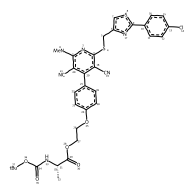 CNc1nc(SCc2csc(-c3ccc(Cl)cc3)n2)c(C#N)c(-c2ccc(OCCOC(=O)[C@H](C)NC(=O)OC(C)(C)C)cc2)c1C#N